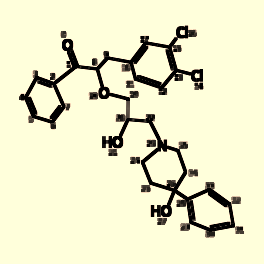 O=C(c1ccccc1)C(Cc1ccc(Cl)c(Cl)c1)OCC(O)CN1CCC(O)(c2ccccc2)CC1